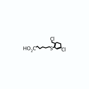 O=C(O)CCCCCSC1=C(CCl)CCC(Cl)=C1